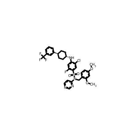 COc1ccc(CN(c2ccncn2)S(=O)(=O)c2cc(Cl)c(N[C@H]3[CH]C[C@H](c4cccc(C(F)(F)F)c4)CC3)cc2F)c(OC)c1